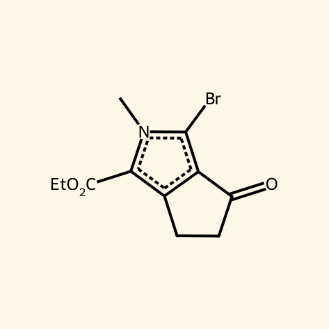 CCOC(=O)c1c2c(c(Br)n1C)C(=O)CC2